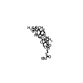 CN(NS(C)(=O)=O)c1ncnc2c1NCN2C1OC2COP(=O)(OCCSC(=O)C(C)(C)C)O[C@H]2[C@@]1(C)O